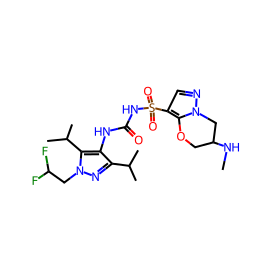 CNC1COc2c(S(=O)(=O)NC(=O)Nc3c(C(C)C)nn(CC(F)F)c3C(C)C)cnn2C1